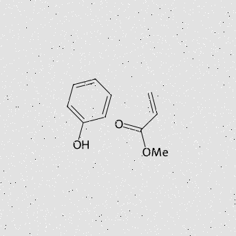 C=CC(=O)OC.Oc1ccccc1